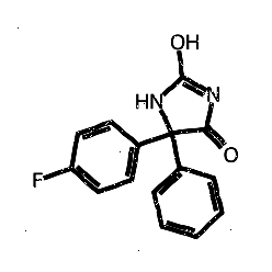 O=C1N=C(O)NC1(c1ccccc1)c1ccc(F)cc1